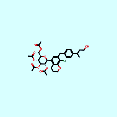 CC(=O)OC[C@H]1O[C@@H](c2cc(Cc3ccc(C(C)CCO)cc3)c(Cl)c3c2CCCO3)[C@H](OC(C)=O)[C@@H](OC(C)=O)[C@@H]1OC(C)=O